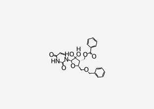 O=C(OC[C@@H]1[C@@H](COCc2ccccc2)O[C@@H](n2ccc(=O)[nH]c2=O)C1(O)O)c1ccccc1